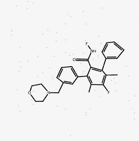 Cc1c(F)c(C)c(-c2cccc(CN3CCOCC3)c2)c(C(=O)NF)c1-c1ccccc1